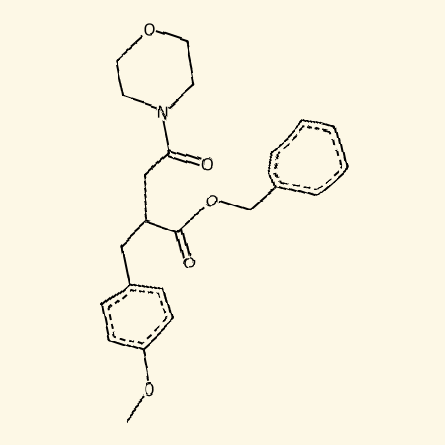 COc1ccc(CC(CC(=O)N2CCOCC2)C(=O)OCc2ccccc2)cc1